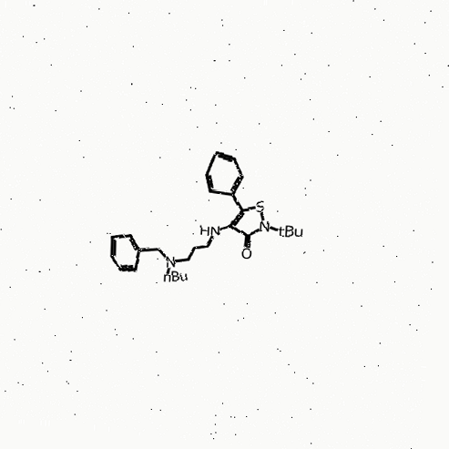 CCCCN(CCCNc1c(-c2ccccc2)sn(C(C)(C)C)c1=O)Cc1ccccc1